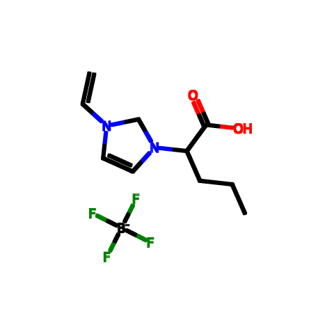 C=CN1C=CN(C(CCC)C(=O)O)C1.F[B-](F)(F)F